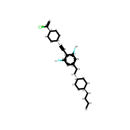 C=C(Cl)[C@H]1CC[C@H](C#Cc2c(F)cc(CC[C@H]3CC[C@H](CCCC)CC3)cc2F)CC1